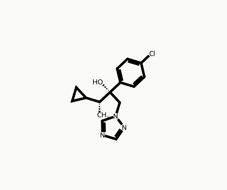 C[C@H](C1CC1)[C@](O)(Cn1cncn1)c1ccc(Cl)cc1